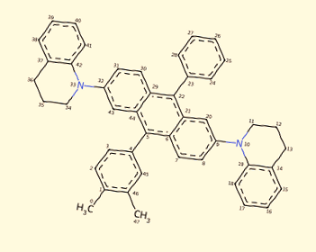 Cc1ccc(-c2c3ccc(N4CCCc5ccccc54)cc3c(-c3ccccc3)c3ccc(N4CCCc5ccccc54)cc23)cc1C